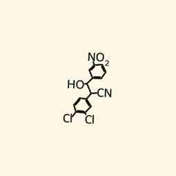 N#CC(c1ccc(Cl)c(Cl)c1)C(O)c1cccc([N+](=O)[O-])c1